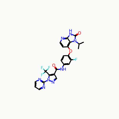 CC(C)n1c(=O)[nH]c2nccc(Oc3ccc(NC(=O)c4cnn(-c5ncccn5)c4C(F)(F)F)cc3F)c21